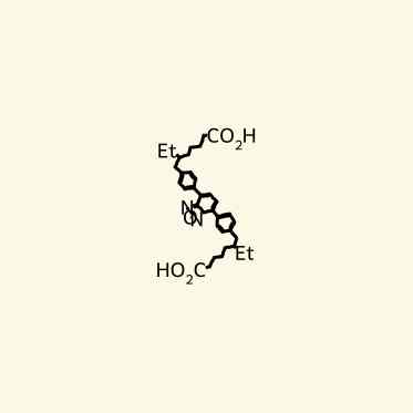 CCC(CCCCC(=O)O)Cc1ccc(-c2ccc(-c3ccc(CC(CC)CCCCC(=O)O)cc3)c3nonc23)cc1